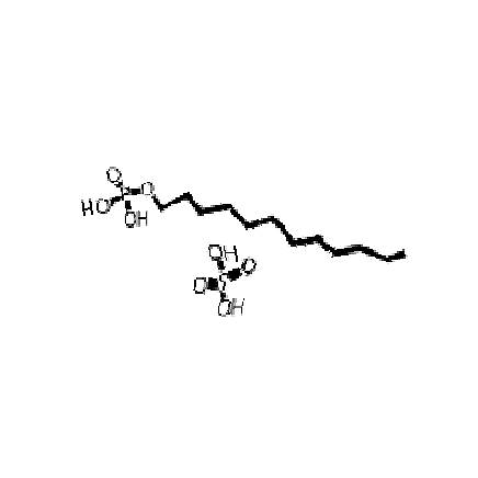 CCCCCCCCCCCCOP(=O)(O)O.O=S(=O)(O)O